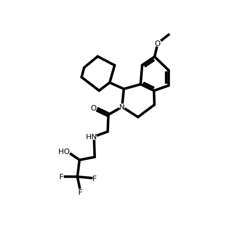 COc1ccc2c(c1)C(C1CCCCC1)N(C(=O)CNCC(O)C(F)(F)F)CC2